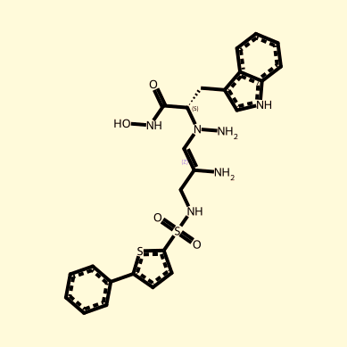 N/C(=C\N(N)[C@@H](Cc1c[nH]c2ccccc12)C(=O)NO)CNS(=O)(=O)c1ccc(-c2ccccc2)s1